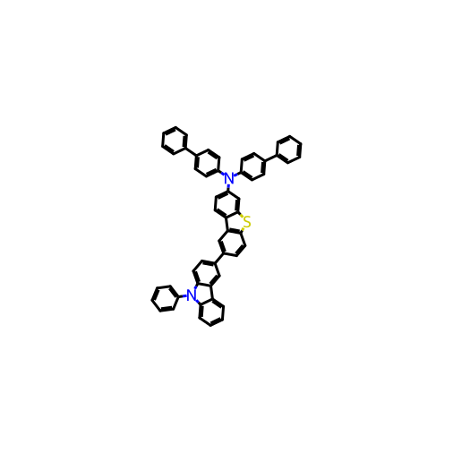 c1ccc(-c2ccc(N(c3ccc(-c4ccccc4)cc3)c3ccc4c(c3)sc3ccc(-c5ccc6c(c5)c5ccccc5n6-c5ccccc5)cc34)cc2)cc1